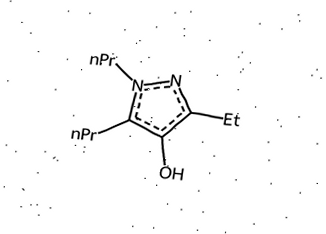 CCCc1c(O)c(CC)nn1CCC